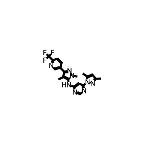 Cc1cc(C)n(-c2cc(Nc3c(C)c(-c4ccc(C(F)(F)F)nc4)nn3C)ncn2)n1